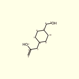 C=C(O)CC1CCC(CO)CC1